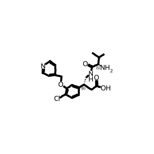 CC(C)[C@H](N)C(=O)NC[C@H](CC(=O)O)c1ccc(Cl)c(OCc2ccncc2)c1